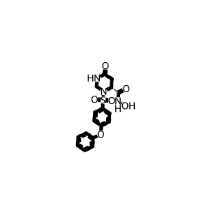 O=C1C[C@H](C(=O)NO)N(S(=O)(=O)c2ccc(Oc3ccccc3)cc2)CN1